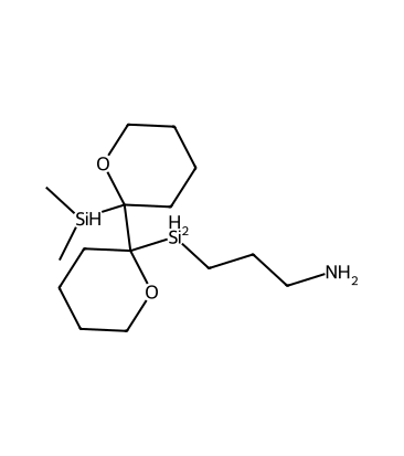 C[SiH](C)C1(C2([SiH2]CCCN)CCCCO2)CCCCO1